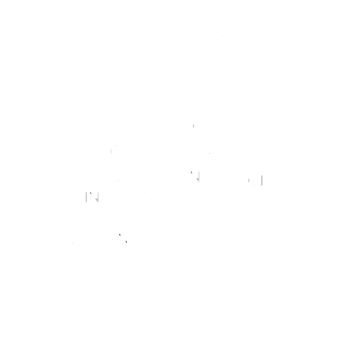 O=C(C(O)c1cccc(C2CC2)c1)N1CCCc2nc(C3(c4cccc(F)c4)CC3)[nH]c(=O)c2C1